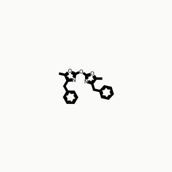 Cc1oc(Oc2nc(Cc3ccccc3)c(C)o2)nc1Cc1ccccc1